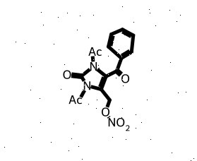 CC(=O)n1c(CO[N+](=O)[O-])c(C(=O)c2ccccc2)n(C(C)=O)c1=O